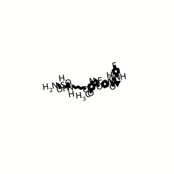 COc1cc2c(Oc3ccc(NC(=O)C4(C(=O)Nc5ccc(F)cc5)CC4)cc3F)ccnc2cc1OCCCCCNC(=O)C[SH]=C(O)CN